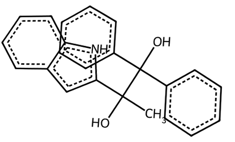 CC(O)(c1cc2ccccc2[nH]1)C(O)(c1ccccc1)c1ccccc1